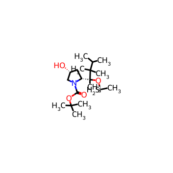 C[SiH2]OC(C)([C@H]1C[C@@H](O)CN1C(=O)OC(C)(C)C)C(C)(C)C(C)C